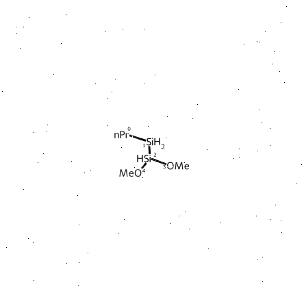 CCC[SiH2][SiH](OC)OC